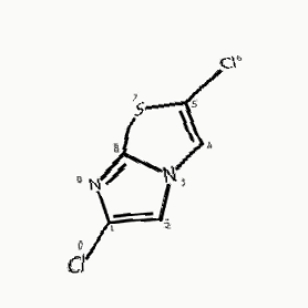 Clc1[c]n2cc(Cl)sc2n1